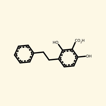 O=C(O)c1c(O)ccc(CCc2ccccc2)c1O